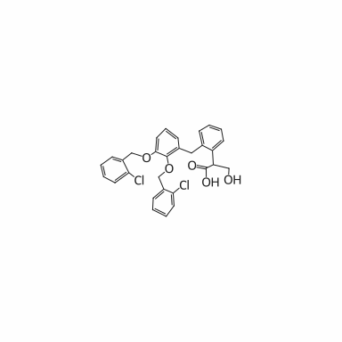 O=C(O)C(CO)c1ccccc1Cc1cccc(OCc2ccccc2Cl)c1OCc1ccccc1Cl